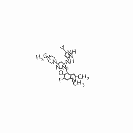 Cc1cc2c(F)c(Oc3nc(Nc4cc(C5CC5)[nH]n4)cc(N4CCN(C)CC4)n3)c(F)cc2n1C